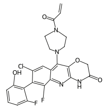 C=CC(=O)N1CCN(c2c3c(nc4c(F)c(-c5c(O)cccc5F)c(Cl)cc24)NC(=O)CO3)CC1